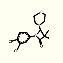 CC1(C)C(=O)N(c2ccc(Cl)c(Cl)c2)C1N1CCOCC1